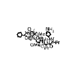 CC[C@H](C)[C@@H]([C@H](CC(=O)N1CCC[C@H]1[C@H](OC)[C@@H](C)C(=O)N[C@H](C)[C@H](O)c1ccccc1)OC)N(C)C(=O)[C@@H](NC(=O)[C@H](C(C)C)N(C)Cc1ccc(N)cc1)C(C)C